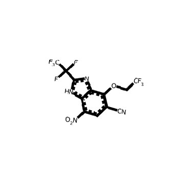 N#Cc1cc([N+](=O)[O-])c2[nH]c(C(F)(F)C(F)(F)F)nc2c1OCC(F)(F)F